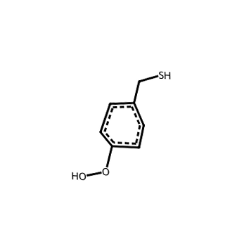 OOc1ccc(CS)cc1